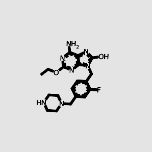 CCOc1nc(N)c2nc(O)n(Cc3ccc(CN4CCNCC4)cc3F)c2n1